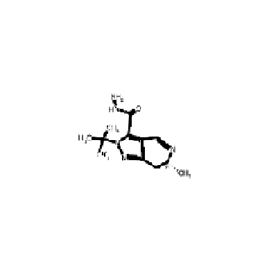 C[C@@H]1Cc2nn(C(C)(C)C)c(C(=O)NN)c2C=N1